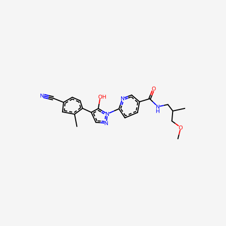 COCC(C)CNC(=O)c1ccc(-n2ncc(-c3ccc(C#N)cc3C)c2O)nc1